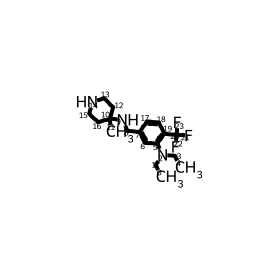 CCN(CC)c1cc(CNC2(C)CCNCC2)ccc1C(F)(F)F